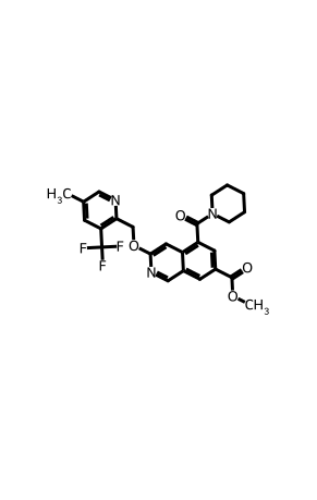 COC(=O)c1cc(C(=O)N2CCCCC2)c2cc(OCc3ncc(C)cc3C(F)(F)F)ncc2c1